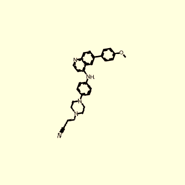 COc1ccc(-c2ccc3nccc(Nc4ccc(N5CCN(CCC#N)CC5)cc4)c3c2)cc1